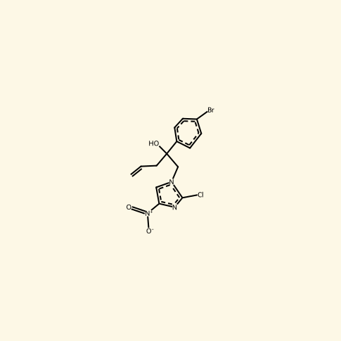 C=CCC(O)(Cn1cc([N+](=O)[O-])nc1Cl)c1ccc(Br)cc1